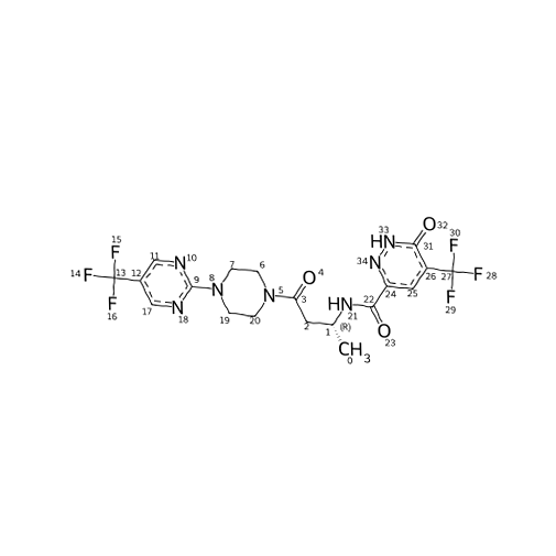 C[C@H](CC(=O)N1CCN(c2ncc(C(F)(F)F)cn2)CC1)NC(=O)c1cc(C(F)(F)F)c(=O)[nH]n1